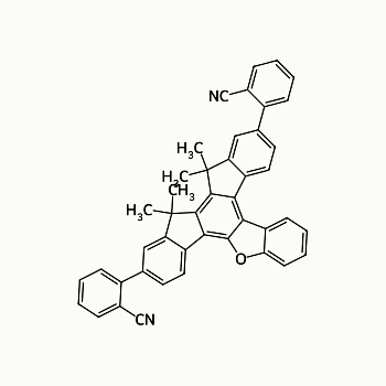 CC1(C)c2cc(-c3ccccc3C#N)ccc2-c2c1c1c(c3c2oc2ccccc23)-c2ccc(-c3ccccc3C#N)cc2C1(C)C